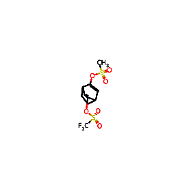 CS(=O)(=O)OC1=CC2CCC1C=C2OS(=O)(=O)C(F)(F)F